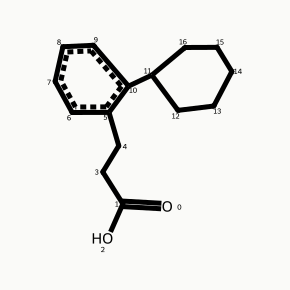 O=C(O)CCc1ccccc1C1CCCCC1